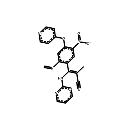 C=Nc1cc(Oc2ccncc2)c([N+](=O)[O-])cc1/C(Nc1ncccn1)=C(\C)C#N